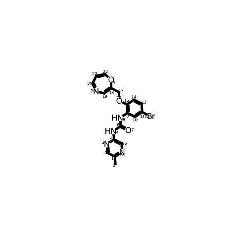 Cc1cnc(NC(=O)Nc2cc(Br)ccc2OCC2=CN=CC=CO2)cn1